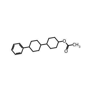 CC(=O)OC1CCC(C2CCC(c3ccccc3)CC2)CC1